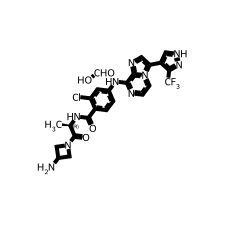 C[C@@H](NC(=O)c1ccc(Nc2nccn3c(-c4c[nH]nc4C(F)(F)F)cnc23)cc1Cl)C(=O)N1CC(N)C1.O=CO